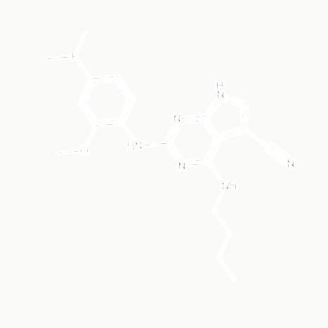 CCCCNc1nc(Nc2ccc(P(C)C)cc2OC)nc2[nH]cc(C#N)c12